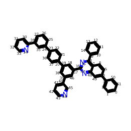 c1ccc(-c2ccc3c(-c4ccccc4)nc(-c4cc(-c5ccc(-c6cccc(-c7ccccn7)c6)cc5)cc(-c5cccnc5)c4)nc3c2)cc1